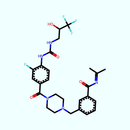 CC(C)=NC(=O)c1cccc(CN2CCN(C(=O)c3ccc(NC(=O)NCC(O)C(F)(F)F)c(F)c3)CC2)c1